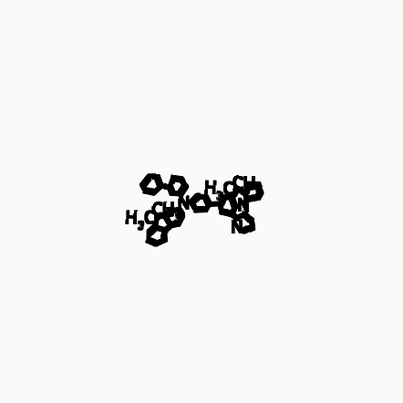 CC1(C)c2ccccc2-c2ccc(N(c3ccc(-c4cc5c6c(c4)c4ncccc4n6-c4ccccc4C5(C)C)cc3)c3cccc(-c4ccccc4)c3)cc21